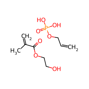 C=C(C)C(=O)OCCO.C=CCOP(=O)(O)O